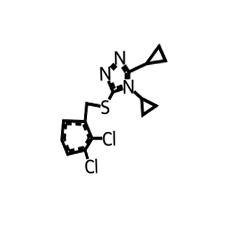 Clc1cccc(CSc2nnc(C3CC3)n2C2CC2)c1Cl